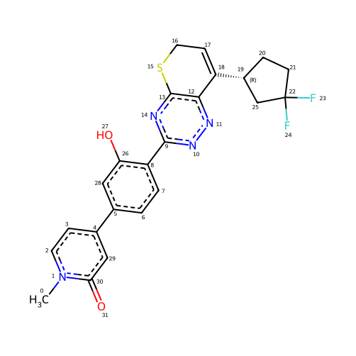 Cn1ccc(-c2ccc(-c3nnc4c(n3)SCC=C4[C@@H]3CCC(F)(F)C3)c(O)c2)cc1=O